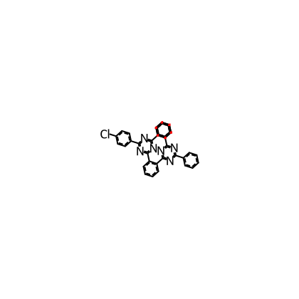 Clc1ccc(-c2nc(-c3ccccc3)nc(-c3ccccc3-c3nc(-c4ccccc4)nc(-c4ccccc4)n3)n2)cc1